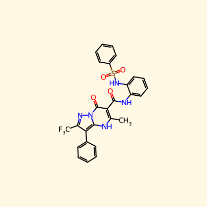 Cc1[nH]c2c(-c3ccccc3)c(C(F)(F)F)nn2c(=O)c1C(=O)Nc1ccccc1NS(=O)(=O)c1ccccc1